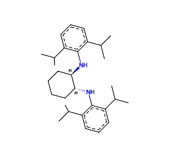 CC(C)c1cccc(C(C)C)c1N[C@@H]1CCCC[C@H]1Nc1c(C(C)C)cccc1C(C)C